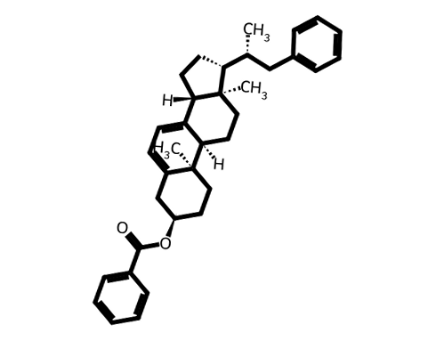 C[C@H](Cc1ccccc1)[C@H]1CC[C@H]2C3=CC=C4C[C@H](OC(=O)c5ccccc5)CC[C@]4(C)[C@@H]3CC[C@]12C